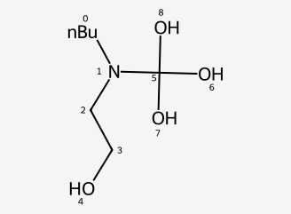 CCCCN(CCO)C(O)(O)O